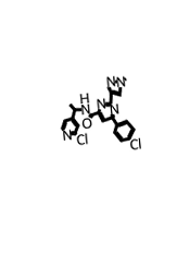 CC(NC(=O)c1cc(-c2ccc(Cl)cc2)nc(-c2cnn(C)c2)n1)c1ccnc(Cl)c1